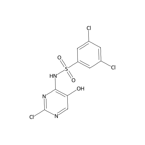 O=S(=O)(Nc1nc(Cl)ncc1O)c1cc(Cl)cc(Cl)c1